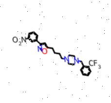 O=[N+]([O-])c1cccc(-c2cc(CCCCN3CCN(Cc4ccccc4C(F)(F)F)CC3)on2)c1